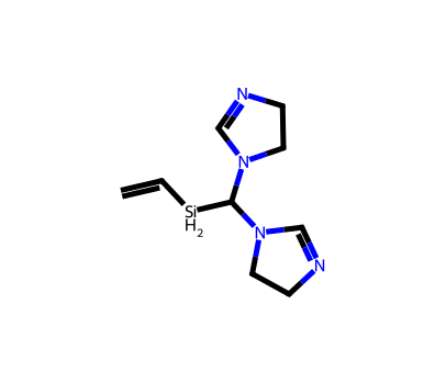 C=C[SiH2]C(N1C=NCC1)N1C=NCC1